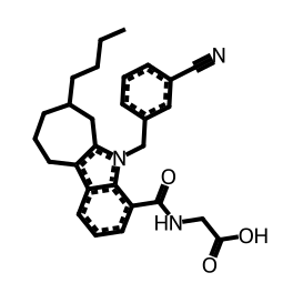 CCCCC1CCCc2c(n(Cc3cccc(C#N)c3)c3c(C(=O)NCC(=O)O)cccc23)C1